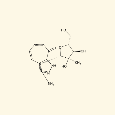 C[C@@]1(O)[C@H](O)[C@@H](CO)O[C@H]1N1CC23C=CC=CC(=O)C2NN=C3C(N)=N1